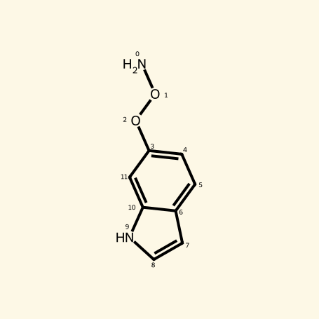 NOOc1ccc2cc[nH]c2c1